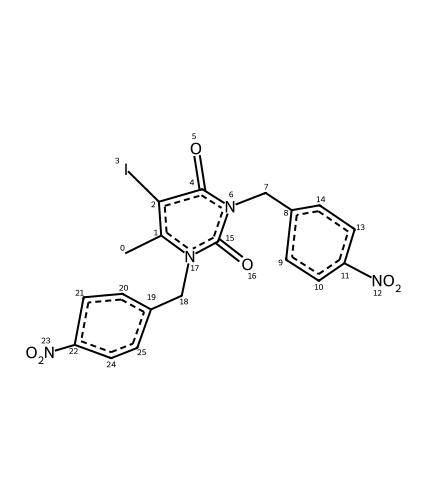 Cc1c(I)c(=O)n(Cc2ccc([N+](=O)[O-])cc2)c(=O)n1Cc1ccc([N+](=O)[O-])cc1